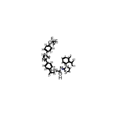 Cc1cccc(N2CCS/C2=N\C(O)NCC(C)c2ccc(-c3ncn(-c4ccc(OC(F)(F)F)cc4)n3)cc2)c1C(C)C